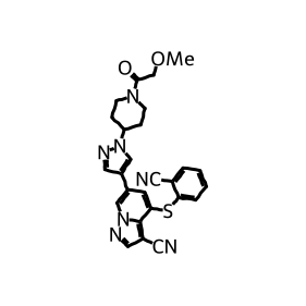 COCC(=O)N1CCC(n2cc(-c3cc(Sc4ccccc4C#N)c4c(C#N)cnn4c3)cn2)CC1